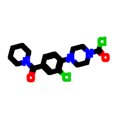 O=C(Cl)N1CCN(c2ccc(C(=O)N3CCCCC3)cc2Cl)CC1